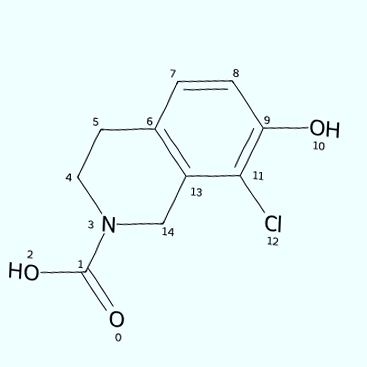 O=C(O)N1CCc2ccc(O)c(Cl)c2C1